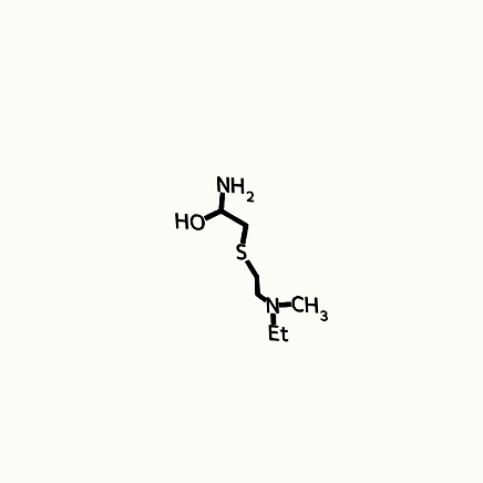 CCN(C)CCSCC(N)O